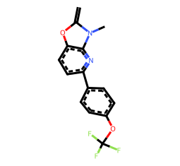 C=C1Oc2ccc(-c3ccc(OC(F)(F)F)cc3)nc2N1C